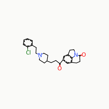 O=C(CCC1CCN(CCc2ccccc2Cl)CC1)c1cc2c3c(c1)CCN3C(=O)CC2